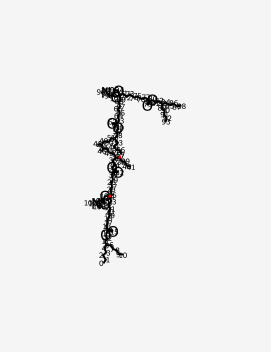 CCCCCC(CCCCC)CCOC(=O)CCCCCCCCC(CCCCCCC(=O)OCCC(CCCCC)CCCC(C)C(C)CCCC(CCCCC)CCOC(=O)CCCCCCCC1(CCCCCCCC(=O)OCCC(CCCCC)CCCCC)OCC(CN(C)C)O1)OC(=O)CN(C)C